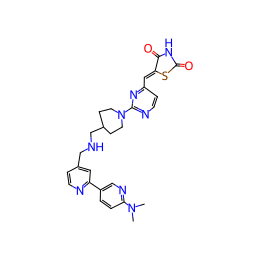 CN(C)c1ccc(-c2cc(CNCC3CCN(c4nccc(/C=C5\SC(=O)NC5=O)n4)CC3)ccn2)cn1